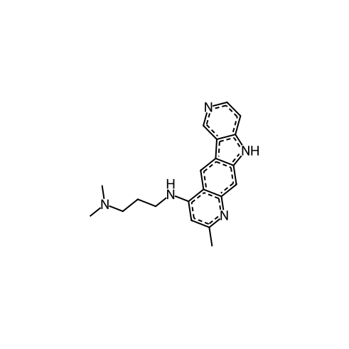 Cc1cc(NCCCN(C)C)c2cc3c(cc2n1)[nH]c1ccncc13